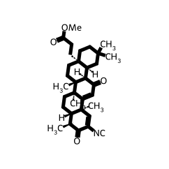 [C-]#[N+]C1=C[C@]2(C)C3=CC(=O)[C@@H]4[C@@H]5CC(C)(C)CC[C@]5(CCC(=O)OC)CC[C@@]4(C)[C@]3(C)CC[C@H]2[C@H](C)C1=O